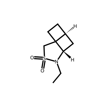 CCN1[C@H]2C[C@@H]3CCC32CS1(=O)=O